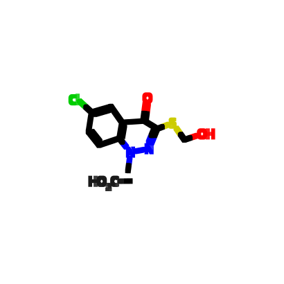 CC(=O)O.Cn1nc(SCO)c(=O)c2cc(Cl)ccc21